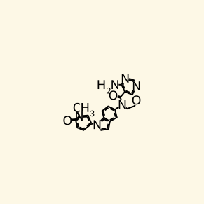 Cn1cc(-n2ccc3cc(N4CCOc5ncnc(N)c5C4=O)ccc32)ccc1=O